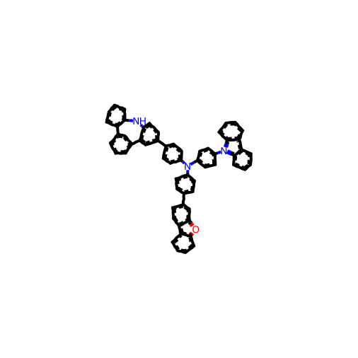 c1cc2cc(c1)-c1cc(-c3ccc(N(c4ccc(-c5ccc6c(c5)oc5ccccc56)cc4)c4ccc(-n5c6ccccc6c6ccccc65)cc4)cc3)ccc1Nc1ccccc1-2